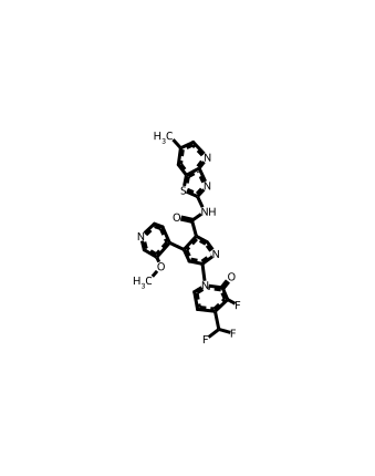 COc1cnccc1-c1cc(-n2ccc(C(F)F)c(F)c2=O)ncc1C(=O)Nc1nc2ncc(C)cc2s1